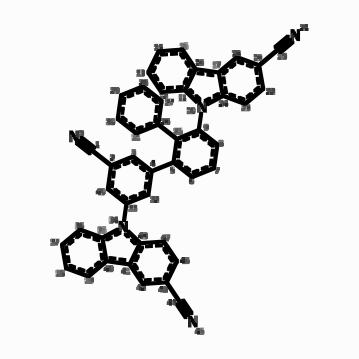 N#Cc1cc(-c2cccc(-n3c4ccccc4c4cc(C#N)ccc43)c2-c2ccccc2)cc(-n2c3ccccc3c3cc(C#N)ccc32)c1